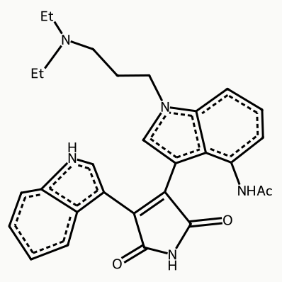 CCN(CC)CCCn1cc(C2=C(c3c[nH]c4ccccc34)C(=O)NC2=O)c2c(NC(C)=O)cccc21